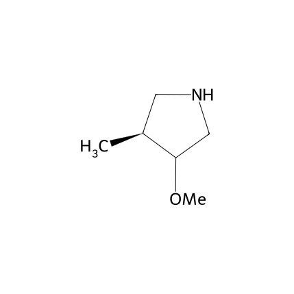 COC1CNC[C@@H]1C